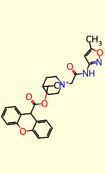 Cc1cc(NC(=O)C[N+]23CCC(CC2)C(OC(=O)C2c4ccccc4Oc4ccccc42)C3)no1